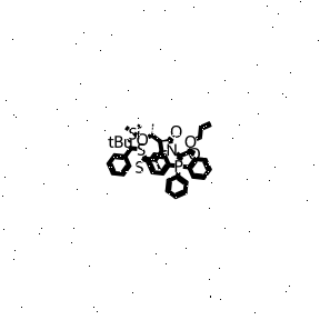 C=CCOC(=O)C(N1C(=O)[C@H]([C@@H](C)O[Si](C)(C)C(C)(C)C)[C@H]1[C@@H](C)C(=S)SCc1ccccc1)=P(c1ccccc1)(c1ccccc1)c1ccccc1